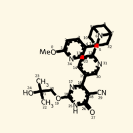 COc1ccc(CN2C3CC2CN(c2ccc(-c4nc(OCC(C)(C)O)[nH]c(=O)c4C#N)cn2)C3)cn1